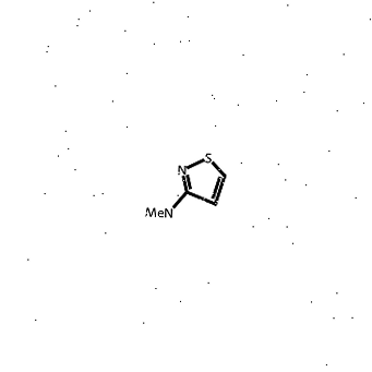 [CH2]Nc1ccsn1